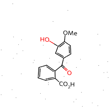 COc1ccc(C(=O)c2ccccc2C(=O)O)cc1O